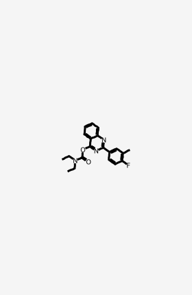 CCN(CC)C(=O)Oc1nc(-c2ccc(F)c(C)c2)nc2ccccc12